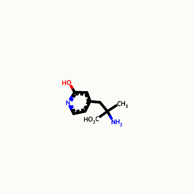 CC(N)(Cc1ccnc(O)c1)C(=O)O